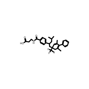 CC1=CC(CC(CC(C)C)c2ccc(C(=O)NCCC(=O)O)cc2)(C(F)(F)F)CC(C)=C1c1ccccc1